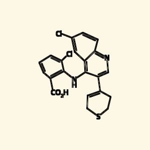 O=C(O)c1cccc(Cl)c1Nc1c(C2=CCSCC2)cnc2ccc(Cl)cc12